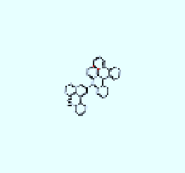 c1ccc(-c2ccccc2-c2c3ccccc3c(-c3cc4c5c(cccc5c3)Sc3ccccc3-4)c3ccccc23)cc1